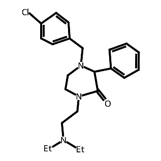 CCN(CC)CCN1CCN(Cc2ccc(Cl)cc2)C(c2ccccc2)C1=O